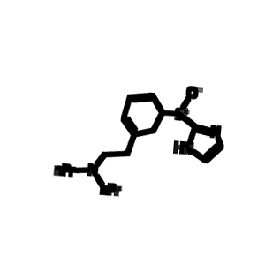 CCCN(CCC)CCC1=CC=CC([S+]([O-])c2ncc[nH]2)C1